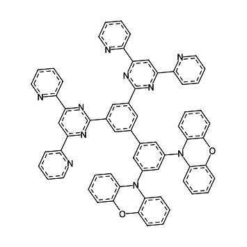 c1ccc(-c2cc(-c3ccccn3)nc(-c3cc(-c4cc(N5c6ccccc6Oc6ccccc65)cc(N5c6ccccc6Oc6ccccc65)c4)cc(-c4nc(-c5ccccn5)cc(-c5ccccn5)n4)c3)n2)nc1